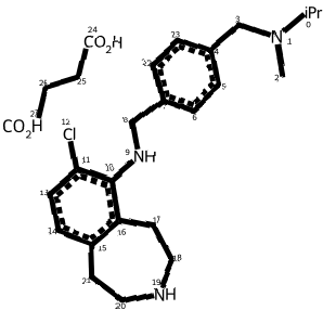 CC(C)N(C)Cc1ccc(CNc2c(Cl)ccc3c2CCNCC3)cc1.O=C(O)CCC(=O)O